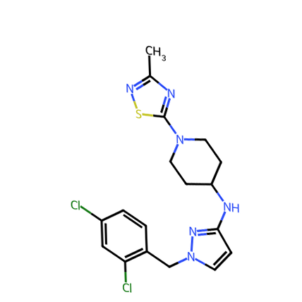 Cc1nsc(N2CCC(Nc3ccn(Cc4ccc(Cl)cc4Cl)n3)CC2)n1